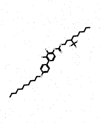 CCCCCCCCCCOc1ccc(-c2ccc(OC(=O)OCCC(CCCCCC)C(F)(F)F)c(F)c2F)cc1